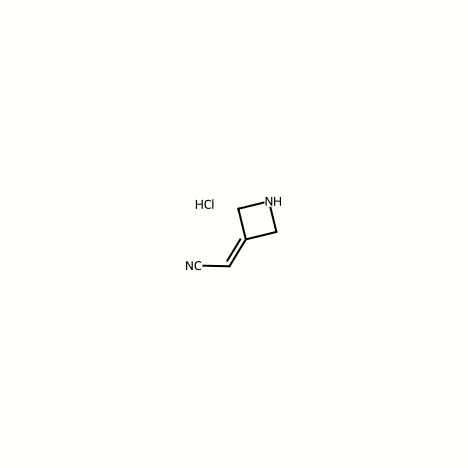 Cl.N#CC=C1CNC1